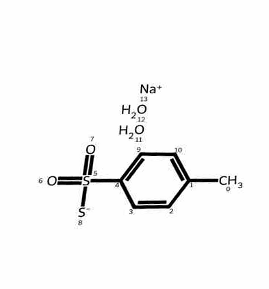 Cc1ccc(S(=O)(=O)[S-])cc1.O.O.[Na+]